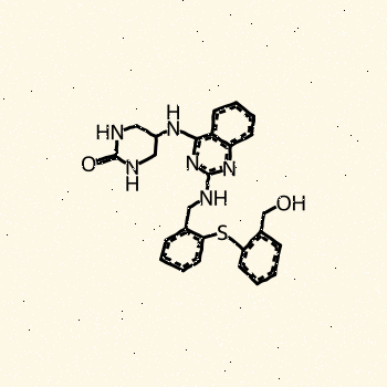 O=C1NCC(Nc2nc(NCc3ccccc3Sc3ccccc3CO)nc3ccccc23)CN1